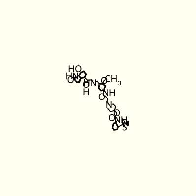 COc1cc(NC(=O)CCN2CCC(OC(=O)Nc3ccccc3-c3nccs3)CC2)ccc1CNCC(O)c1ccc(O)c2[nH]c(=O)ccc12